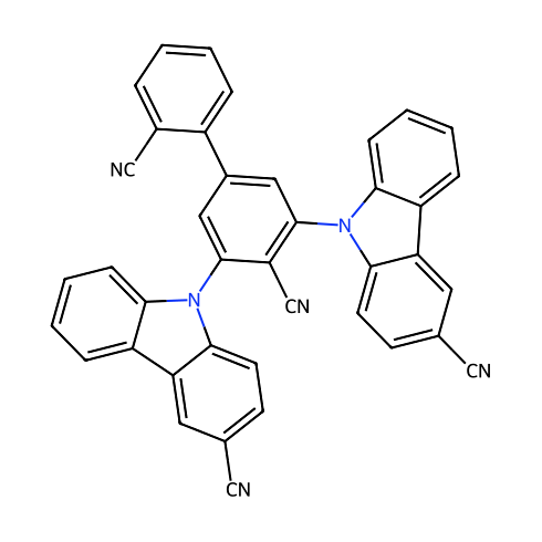 N#Cc1ccc2c(c1)c1ccccc1n2-c1cc(-c2ccccc2C#N)cc(-n2c3ccccc3c3cc(C#N)ccc32)c1C#N